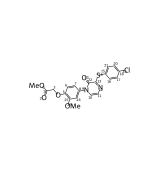 COC(=O)COc1ccc(-n2ccnc(Sc3ccc(Cl)cc3)c2=O)cc1OC